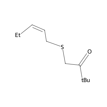 CC/C=C\CSCC(=O)C(C)(C)C